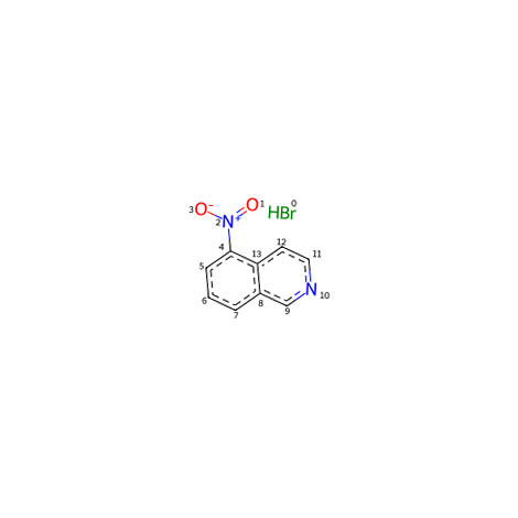 Br.O=[N+]([O-])c1cccc2cnccc12